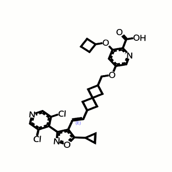 O=C(O)c1ncc(OCC2CC3(CC(/C=C/c4c(-c5c(Cl)cncc5Cl)noc4C4CC4)C3)C2)cc1OC1CCC1